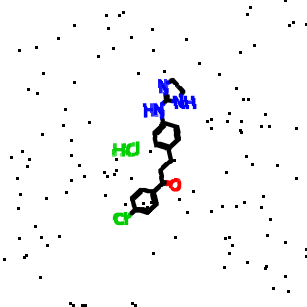 Cl.O=C(CCc1ccc(NC2=NCCN2)cc1)c1ccc(Cl)cc1